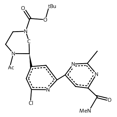 CNC(=O)c1cc(-c2cc([C@@H]3CN(C(=O)OC(C)(C)C)CCN3C(C)=O)cc(Cl)n2)nc(C)n1